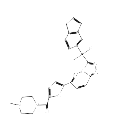 CN1CCN(C(=O)c2ccc(-c3ccc4nnc(C(F)(F)c5ccc6c(c5)C=CC6)n4n3)s2)CC1